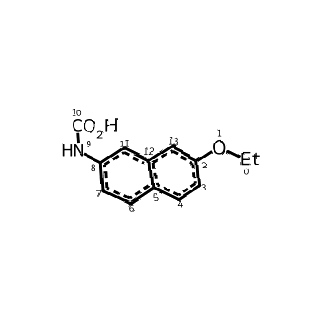 CCOc1ccc2ccc(NC(=O)O)cc2c1